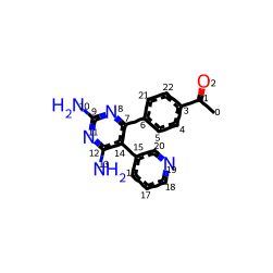 CC(=O)c1ccc(-c2nc(N)nc(N)c2-c2cccnc2)cc1